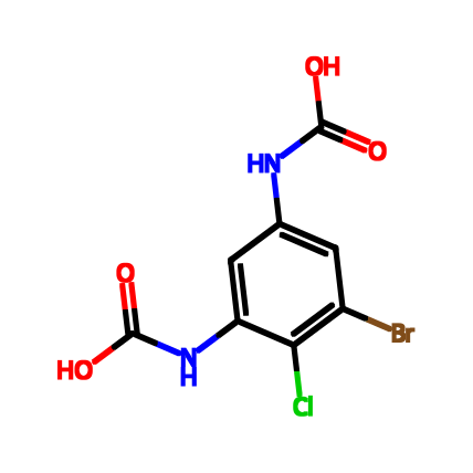 O=C(O)Nc1cc(Br)c(Cl)c(NC(=O)O)c1